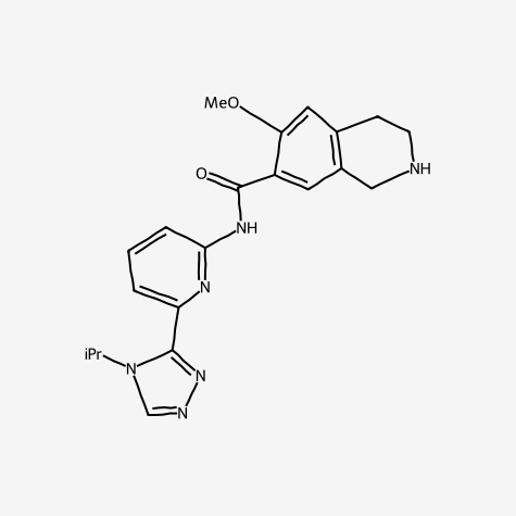 COc1cc2c(cc1C(=O)Nc1cccc(-c3nncn3C(C)C)n1)CNCC2